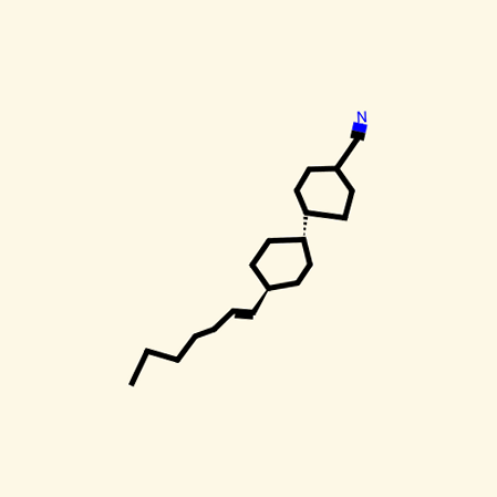 CCCCC/C=C/[C@H]1CC[C@H](C2CCC(C#N)CC2)CC1